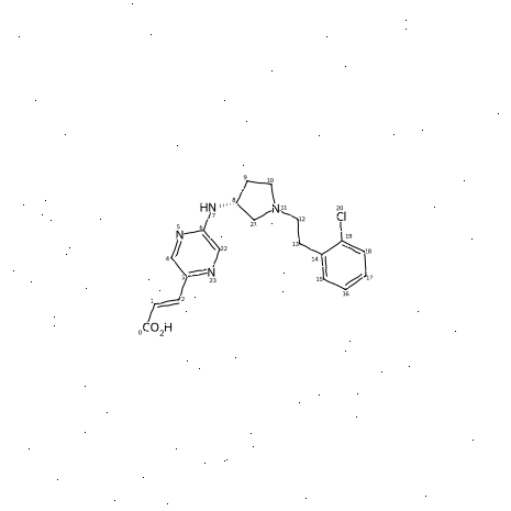 O=C(O)/C=C/c1cnc(N[C@@H]2CCN(CCc3ccccc3Cl)C2)cn1